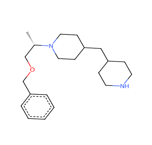 C[C@@H](COCc1ccccc1)N1CCC(CC2CCNCC2)CC1